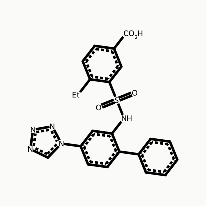 CCc1ccc(C(=O)O)cc1S(=O)(=O)Nc1cc(-n2cnnn2)ccc1-c1ccccc1